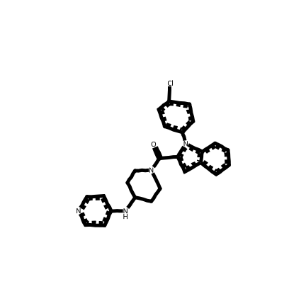 O=C(c1cc2ccccc2n1-c1ccc(Cl)cc1)N1CCC(Nc2ccncc2)CC1